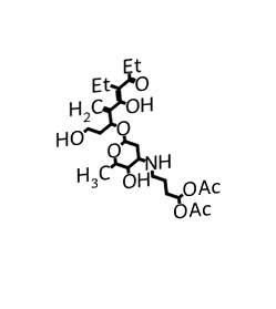 C=C(/C(O)=C(\CC)C(=O)CC)C(CCO)OC1CC(NCCCC(OC(C)=O)OC(C)=O)C(O)C(C)O1